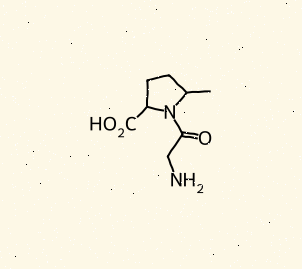 CC1CCC(C(=O)O)N1C(=O)CN